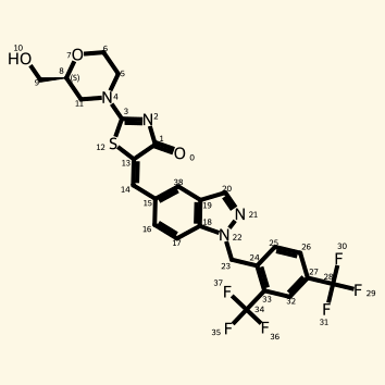 O=C1N=C(N2CCO[C@H](CO)C2)SC1=Cc1ccc2c(cnn2Cc2ccc(C(F)(F)F)cc2C(F)(F)F)c1